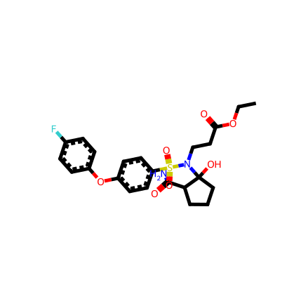 CCOC(=O)CCN(C1(O)CCCC1C(N)=O)S(=O)(=O)c1ccc(Oc2ccc(F)cc2)cc1